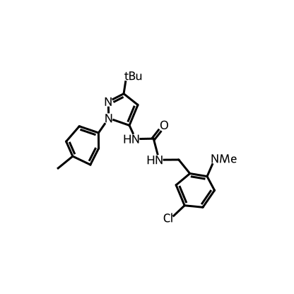 CNc1ccc(Cl)cc1CNC(=O)Nc1cc(C(C)(C)C)nn1-c1ccc(C)cc1